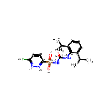 CC(C)c1cccc(C(C)C)c1NC(=O)NS(=O)(=O)c1ccc(F)nn1